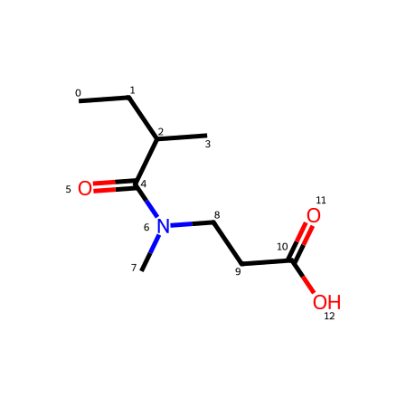 CCC(C)C(=O)N(C)CCC(=O)O